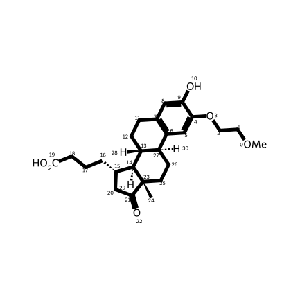 COCCOc1cc2c(cc1O)CC[C@H]1[C@@H]3[C@@H](CCCC(=O)O)CC(=O)[C@@]3(C)CC[C@H]21